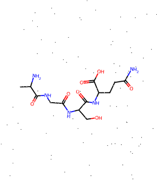 CC(N)C(=O)NCC(=O)NC(CO)C(=O)NC(CCC(N)=O)C(=O)O